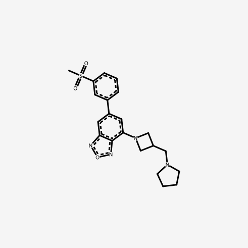 CS(=O)(=O)c1cccc(-c2cc(N3CC(CN4CCCC4)C3)c3nonc3c2)c1